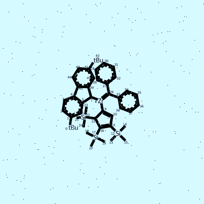 CC(C)(C)c1ccc2c(c1)[CH]([Zr]([C]1=CC([Si](C)(C)C)=C([Si](C)(C)C)C1[Si](C)(C)C)=[C](c1ccccc1)c1ccccc1)c1cc(C(C)(C)C)ccc1-2